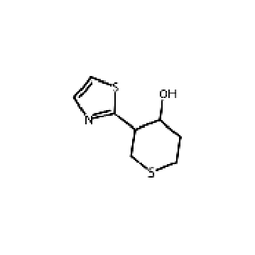 OC1CCSCC1c1nccs1